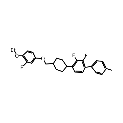 CCOc1ccc(OCC2CCC(c3ccc(-c4ccc(C)cc4)c(F)c3F)CC2)cc1F